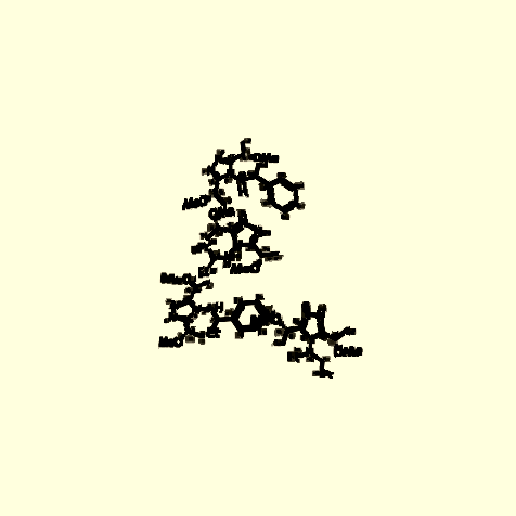 CCC(Nn1c([C@H](C)OC)nnc1[C@H](C)OC)c1ccccc1.CCCC(CC)Nn1c([C@H](C)OC)nnc1[C@H](C)OC.CCN(CC(C)C)n1c([C@H](C)OC)nnc1[C@H](C)OC.CO[C@@H](C)c1nnc([C@H](C)OC)n1NC(C)c1ccccc1